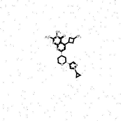 Cc1nc2nc([C@H]3CCO[C@@H](c4cnn(C5CC5)c4)C3)cc(C3CC(C(F)(F)F)C3)c2c(=O)n1C